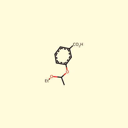 CCOC(C)Oc1cccc(C(=O)O)c1